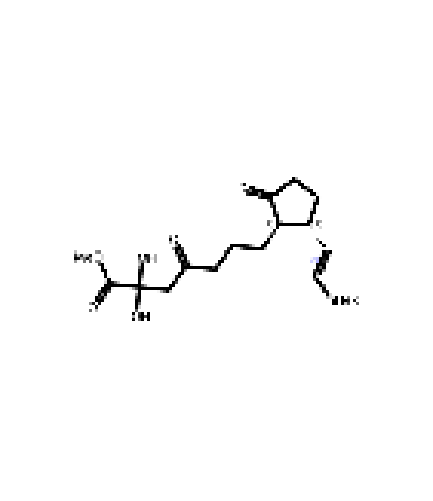 CCCCCC/C=C/[C@H]1CCC(=O)[C@@H]1CCCC(=O)CC(O)(O)C(=O)OC